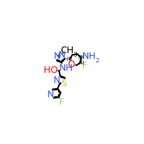 Cn1ncc(NC(O)c2csc(-c3cncc(F)c3)n2)c1[C@@H]1CC[C@@H](N)[C@H](F)CO1